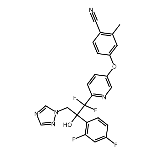 Cc1cc(Oc2ccc(C(F)(F)C(O)(Cn3cncn3)c3ccc(F)cc3F)nc2)ccc1C#N